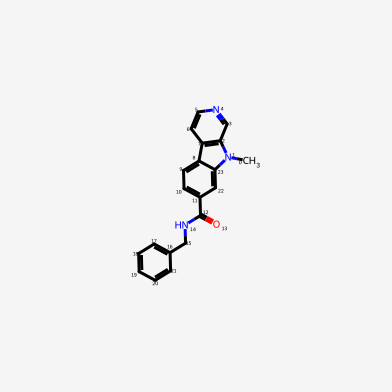 Cn1c2cnccc2c2ccc(C(=O)NCc3ccccc3)cc21